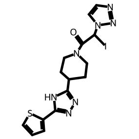 O=C(C(I)n1ccnn1)N1CCC(c2nnc(-c3cccs3)[nH]2)CC1